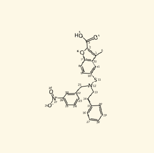 Cc1c(C(=O)O)oc2ccc(SN(CCc3ccccc3)Cc3cccc([N+](=O)[O-])c3)cc12